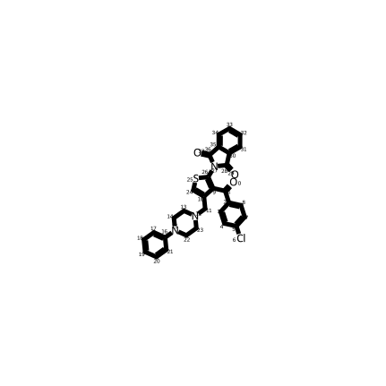 O=C(c1ccc(Cl)cc1)c1c(CN2CCN(c3ccccc3)CC2)csc1N1C(=O)c2ccccc2C1=O